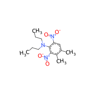 CCCN(CCC)c1c([N+](=O)[O-])cc(C)c(C)c1[N+](=O)[O-]